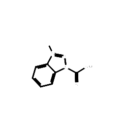 CNC(=N)n1n[n+](O)c2ccccc21